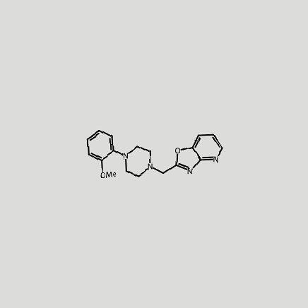 COc1ccccc1N1CCN(Cc2nc3ncccc3o2)CC1